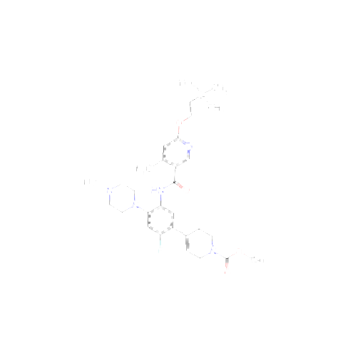 CN1CCN(c2cc(F)c(C3=CCN(C(=O)OC(C)(C)C)CC3)cc2NC(=O)c2cnc(OCC[Si](C)(C)C)cc2C(F)(F)F)CC1